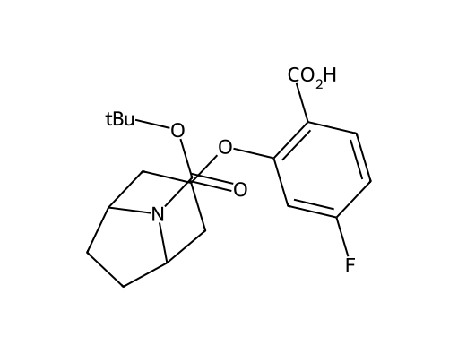 CC(C)(C)OC(=O)N1C2CCC1CC(Oc1cc(F)ccc1C(=O)O)C2